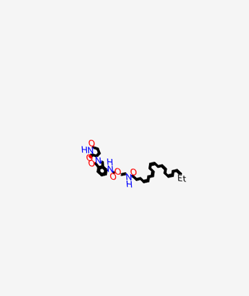 CC/C=C\C/C=C\C/C=C\C/C=C\C/C=C\C/C=C\CCC(=O)NCCOC(=O)Nc1cccc2c1CN(C1CCC(=O)NC1=O)C2=O